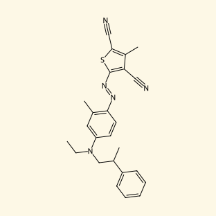 CCN(CC(C)c1ccccc1)c1ccc(/N=N/c2sc(C#N)c(C)c2C#N)c(C)c1